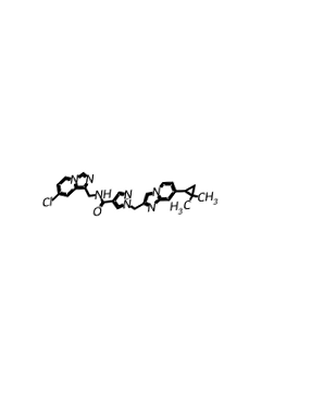 CC1(C)CC1c1ccn2cc(Cn3cc(C(=O)NCc4ncn5ccc(Cl)cc45)cn3)nc2c1